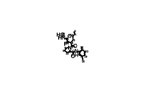 CCCCC(C(=O)N1CCCC1C(=O)Nc1cc(C)ccc1C)C(F)C(=O)NO